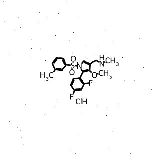 CNCc1cn(S(=O)(=O)c2cccc(C)c2)c(-c2ccc(F)cc2F)c1OC.Cl